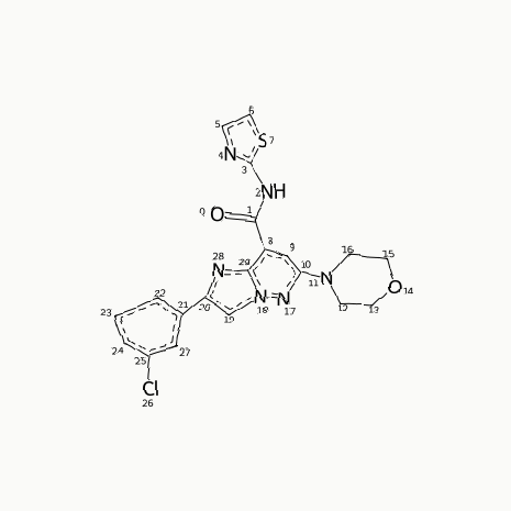 O=C(Nc1nccs1)c1cc(N2CCOCC2)nn2cc(-c3cccc(Cl)c3)nc12